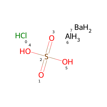 Cl.O=S(=O)(O)O.[AlH3].[BaH2]